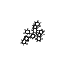 c1ccc(-c2nc3ccccc3nc2-c2ccc(C3(c4ccc5sc6ccccc6c5c4)c4ccccc4-c4ccccc43)cc2)cc1